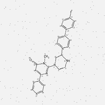 Cn1c(N2CCNC(c3ccc(-c4ccc(F)cc4)cc3)C2)nc(-c2ccncc2)cc1=O